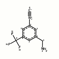 [C-]#[N+]c1cc(CN)cc(C(F)(F)F)c1